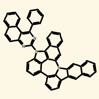 c1ccc(-c2nc(-n3c4cccc5c6cccc7c8cc9ccccc9cc8n(c8cc9ccccc9c3c8c54)c67)nc3ccc4ccccc4c23)cc1